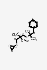 CCC(Cc1ccccc1)(OCC(COC1CO1)(OC)C(Cl)(Cl)Cl)C(Cl)(Cl)Cl